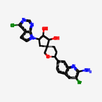 Nc1nc2cc(C3CCC4(CO3)CC(n3ccc5c(Cl)ncnc53)C(O)C4O)ccc2cc1Br